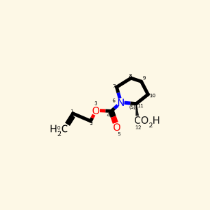 C=CCOC(=O)N1CCCC[C@H]1C(=O)O